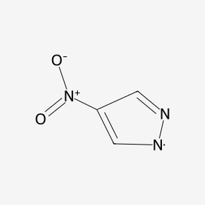 O=[N+]([O-])C1=C[N]N=C1